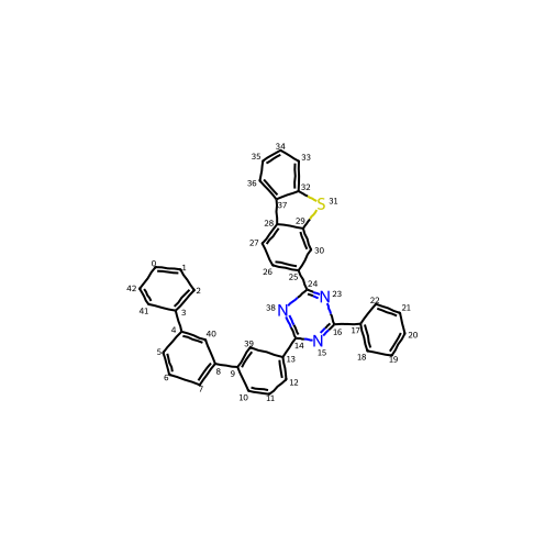 c1ccc(-c2cccc(-c3cccc(-c4nc(-c5ccccc5)nc(-c5ccc6c(c5)sc5ccccc56)n4)c3)c2)cc1